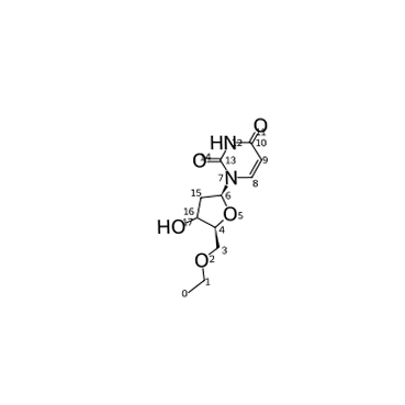 CCOC[C@@H]1O[C@H](n2ccc(=O)[nH]c2=O)CC1O